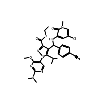 CCOC(=O)c1nn(-c2cnc(N(C)C)nc2OC)c(C(C)C)c1C(Nc1cc(Cl)cn(C)c1=O)c1ccc(C#N)cc1